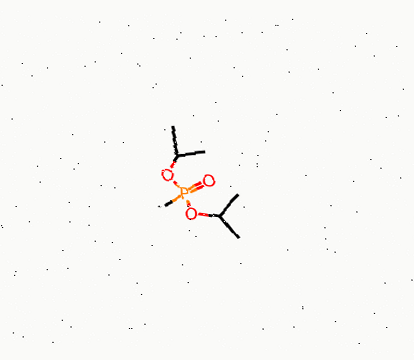 [CH2]P(=O)(OC(C)C)OC(C)C